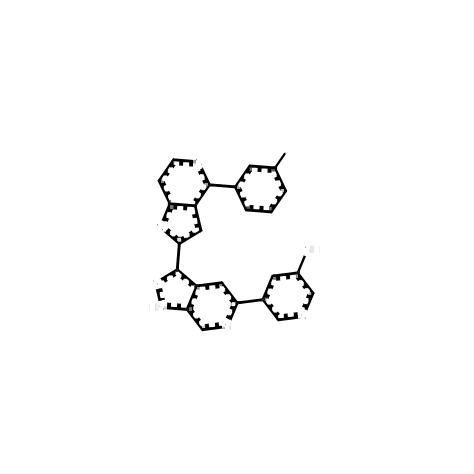 Nc1cncc(-c2cc3c(-c4cc5c(-c6cccc(F)c6)nccc5[nH]4)n[nH]c3cn2)c1